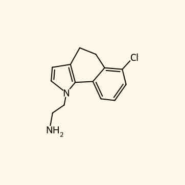 NCCn1ccc2c1-c1cccc(Cl)c1CC2